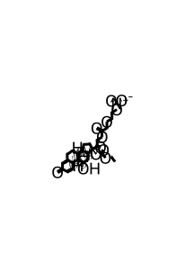 CCOC(=O)O[C@]1(C(=O)COC(=O)COCCO[N+](=O)[O-])CC[C@H]2[C@@H]3CCC4=CC(=O)C=C[C@]4(C)[C@H]3[C@@H](O)C[C@@]21C